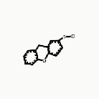 ClSc1ccc2c(c1)Cc1ccccc1O2